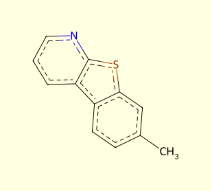 Cc1ccc2c(c1)sc1ncccc12